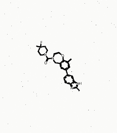 Cc1nc2ccc(-c3cc(C)c4c(c3)CN(C(=O)N3CCC(C)(F)CC3)CCO4)cc2[nH]1